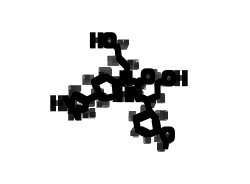 COc1cccc(C(CCO)NC(=O)N(CCCO)c2ccc(-c3cn[nH]c3)cc2)c1